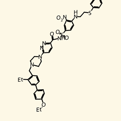 CCOc1ccc(-c2ccc(CN3CCN(c4ccc(C(=O)NS(=O)(=O)c5ccc(NCCSc6ccccc6)c([N+](=O)[O-])c5)nn4)CC3)c(CC)c2)cc1